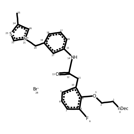 CCCCCCCCCCCCOc1c(F)cccc1CC(=O)Nc1cccc(C[n+]2csc(C)c2)c1.[Br-]